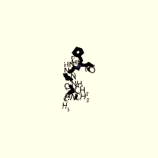 CCC(C)(NC)C(=O)Nc1ccnc(C(=N)/C=C(\NCc2ccccc2F)c2ccon2)n1